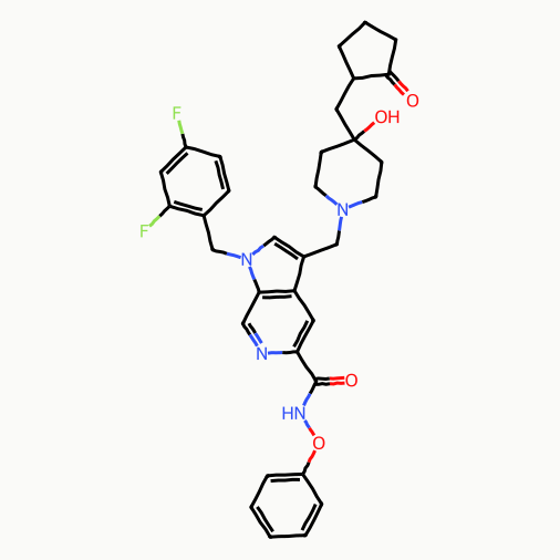 O=C(NOc1ccccc1)c1cc2c(CN3CCC(O)(CC4CCCC4=O)CC3)cn(Cc3ccc(F)cc3F)c2cn1